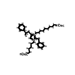 CCCCCCCCCCCCCCCCCCC[n+]1c(CC(C)c2ccccc2)cn(CCCCCCCCCCCCCCC)c1Cc1ccccc1